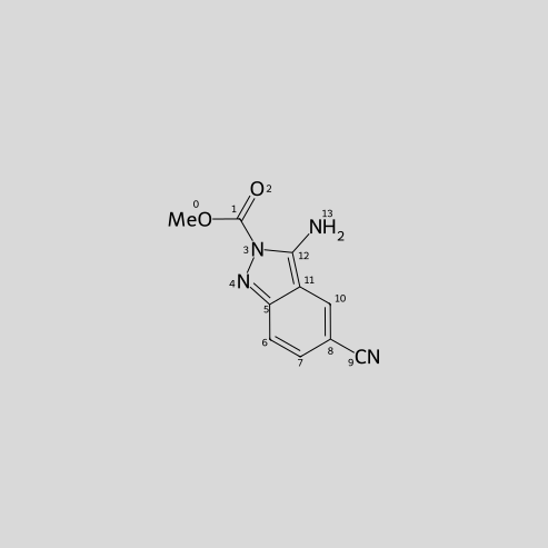 COC(=O)n1nc2ccc(C#N)cc2c1N